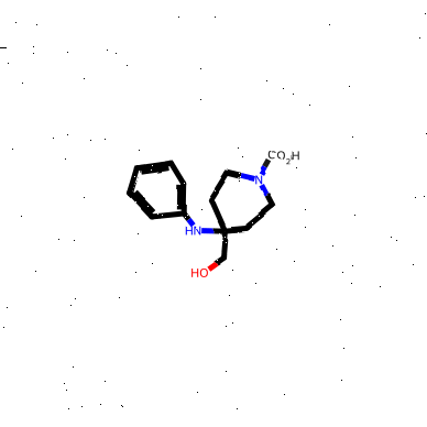 O=C(O)N1CCC(CO)(Nc2ccccc2)CC1